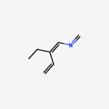 C=C/C(=C\N=C)CC